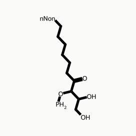 CCCCCCCCCCCCCCCC(=O)C(OP)C(O)CO